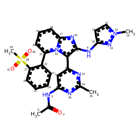 CC(=O)Nc1cc(-c2c(Nc3ccn(C)n3)nc3cccc(-c4ccccc4S(C)(=O)=O)n23)nc(C)n1